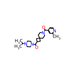 Cc1cc(C(=O)N2CCC3(CC2)CC(C(=O)N2CCN(C(C)C)CC2)C3)ccn1